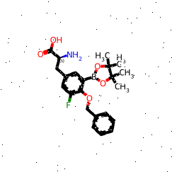 CC1(C)OB(c2cc(C[C@H](N)C(=O)O)cc(F)c2OCc2ccccc2)OC1(C)C